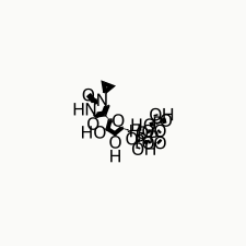 O=c1[nH]c(=O)n(C2CC2)cc1[C@@H]1O[C@H](COP(=O)(O)OP(=O)(O)OP(=O)(O)O)[C@@H](O)[C@H]1O